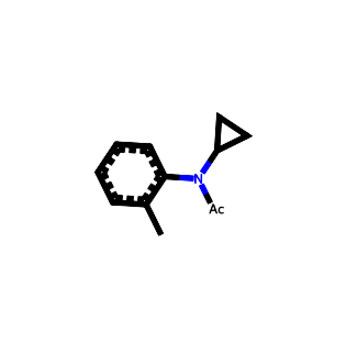 CC(=O)N(c1ccccc1C)C1CC1